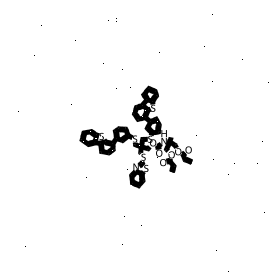 C=CC(=O)OCC(C)(COC(=O)C=C)NC(=O)OCC(CSc1cccc(-c2cccc3c2sc2ccccc23)c1)(CSc1cccc(-c2cccc3c2sc2ccccc23)c1)CSc1nc2ccccc2s1